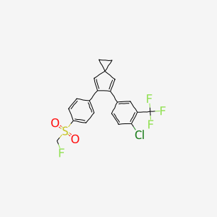 O=S(=O)(CF)c1ccc(C2=CC3(C=C2c2ccc(Cl)c(C(F)(F)F)c2)CC3)cc1